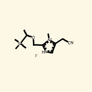 CC(OCc1[nH]cc(CC#N)[n+]1C)[Si](C)(C)C.[I-]